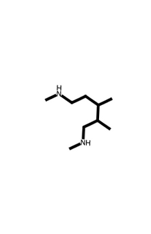 CNCCC(C)C(C)CNC